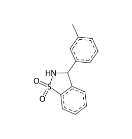 Cc1cccc(C2NS(=O)(=O)c3ccccc32)c1